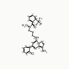 Bc1cnn2c(NCCCN(C)C(=O)c3ccccc3C(F)(F)F)cc(-c3ccccc3Cl)nc12